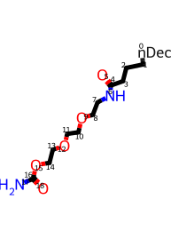 CCCCCCCCCCCCCC(=O)NCCOCCOCCOC(N)=O